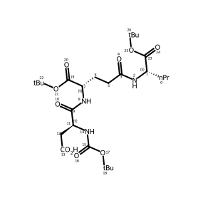 CCC[C@H](NC(=O)CC[C@H](NC(=O)[C@H](CC(=O)O)NC(=O)OC(C)(C)C)C(=O)OC(C)(C)C)C(=O)OC(C)(C)C